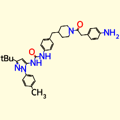 Cc1ccc(-n2nc(C(C)(C)C)cc2NC(=O)Nc2ccc(CC3CCN(C(=O)Cc4ccc(N)cc4)CC3)cc2)cc1